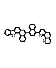 c1cnc2c(c1)ccc1ccc(-c3ccc(-c4cc5ccc6c7ccccc7oc6c5c5ccccc45)c4ccccc34)nc12